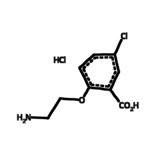 Cl.NCCOc1ccc(Cl)cc1C(=O)O